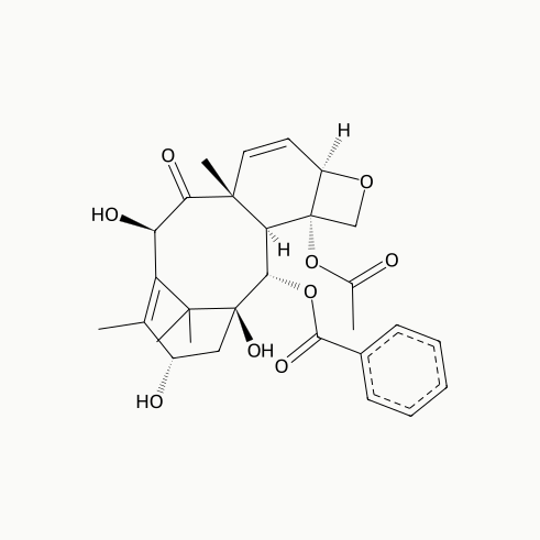 CC(=O)O[C@@]12CO[C@@H]1C=C[C@@]1(C)C(=O)[C@H](O)C3=C(C)[C@@H](O)C[C@@](O)([C@@H](OC(=O)c4ccccc4)[C@H]21)C3(C)C